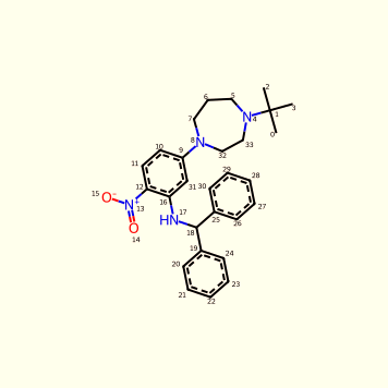 CC(C)(C)N1CCCN(c2ccc([N+](=O)[O-])c(NC(c3ccccc3)c3ccccc3)c2)CC1